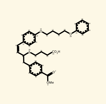 COC(=O)c1ccc(CC(/C=C\c2ccc(OCCCCOc3ccccc3)cc2)SCCCC(=O)O)cc1